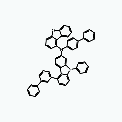 c1ccc(-c2ccc(N(c3ccc4c5c(-c6cccc(-c7ccccc7)c6)cccc5n(-c5ccccc5)c4c3)c3cccc4oc5ccccc5c34)cc2)cc1